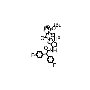 CC(C)C[C@@H](C(=O)N1CC2C(NC(=O)C(c3ccc(F)cc3)c3ccc(F)cc3)CC[C@@H]2C1)N(C)C(=O)OC(C)(C)C